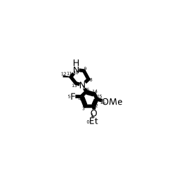 CCOc1cc(F)c(N2CCN[C@H](C)C2)cc1OC